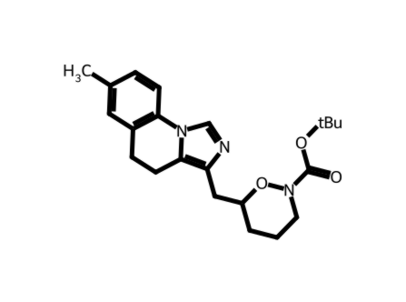 Cc1ccc2c(c1)CCc1c(CC3CCCN(C(=O)OC(C)(C)C)O3)ncn1-2